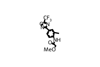 COCC(=O)Nc1ccc(-c2noc(C(F)(F)F)n2)cc1C